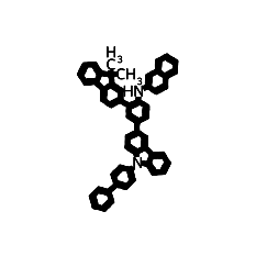 CC1(C)c2ccccc2-c2ccc(-c3cc(-c4ccc5c(c4)c4ccccc4n5-c4ccc(-c5ccccc5)cc4)ccc3Nc3ccc4ccccc4c3)cc21